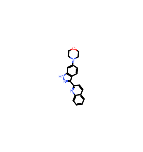 c1ccc2nc(-c3n[nH]c4cc(N5CCOCC5)ccc34)ccc2c1